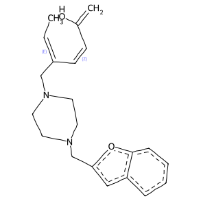 C=C(O)/C=C\C(=C/C)CN1CCN(Cc2cc3ccccc3o2)CC1